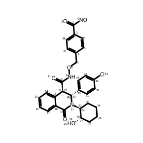 O=NC(=O)c1ccc(CONC(=O)[C@@H]2c3ccccc3C(=O)N([C@H]3CCCC[C@@H]3O)[C@H]2c2ccc(Cl)cc2)cc1